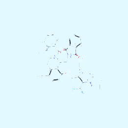 CN(N)/C(=C(\N)COc1ccc(Br)c2c1C(CN1Cc3ccccc3C1=O)N(C(=O)[C@@H]1CCCC[C@@H]1C(=O)O)CC2)C(F)F